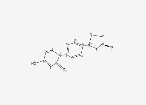 O=c1cc(O)ccn1-c1ccc(N2CC[C@@H](O)C2)nc1